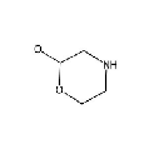 [O]C1CNCCO1